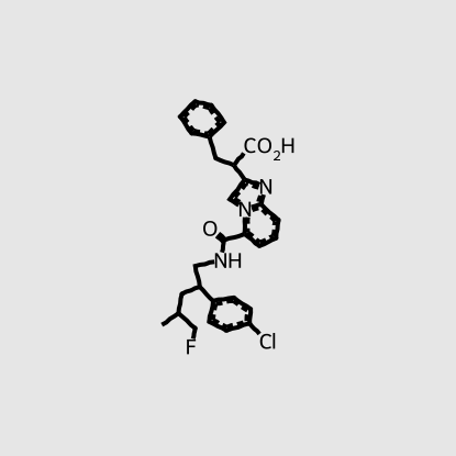 CC(CF)CC(CNC(=O)c1cccc2nc(C(Cc3ccccc3)C(=O)O)cn12)c1ccc(Cl)cc1